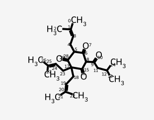 CC(C)=CCC1C(=O)C(C(=O)CC(C)C)C(=O)C(CC=C(C)C)(CC=C(C)C)C1=O